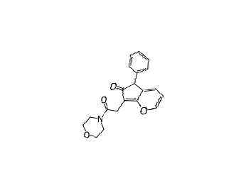 O=C1C(CC(=O)N2CCOCC2)=C2OC=CC=C2C1c1ccccc1